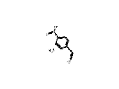 C=Cc1ccc([N+](=O)[O-])cc1.S